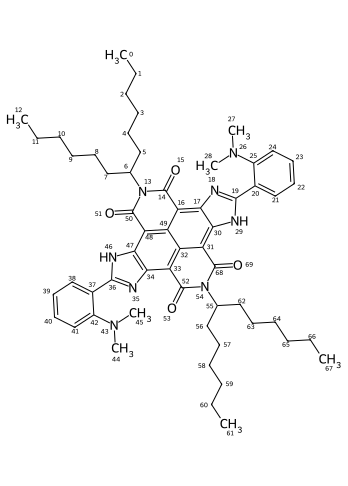 CCCCCCC(CCCCCC)N1C(=O)c2c3nc(-c4ccccc4N(C)C)[nH]c3c3c4c(c5nc(-c6ccccc6N(C)C)[nH]c5c(c24)C1=O)C(=O)N(C(CCCCCC)CCCCCC)C3=O